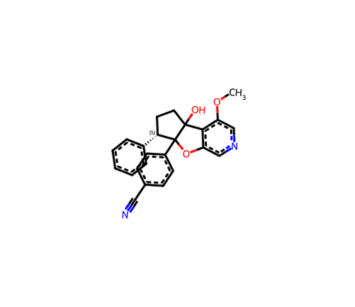 COc1cncc2c1C1(O)CC[C@@H](c3ccccc3)C1(c1ccc(C#N)cc1)O2